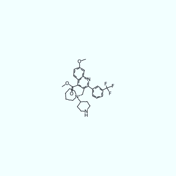 COC(=O)c1c(C[N+]2(C3CCNCC3)CCCCC2)c(-c2cccc(C(F)(F)F)c2)nc2cc(OC)ccc12